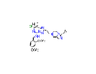 COc1ccc(CNc2nc(Cl)c(C)c3nc(CCN4CCn5c(cnc5C5CC5)C4)nn23)c(OC)c1